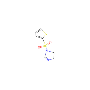 O=S(=O)(c1cccs1)n1ccnc1